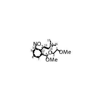 COCCOC(OC)c1cccc([N+](=O)[O-])c1/C=C/N(C)C